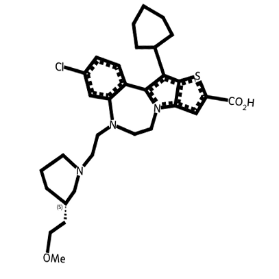 COCC[C@@H]1CCCN(CCN2CCn3c(c(C4CCCCC4)c4sc(C(=O)O)cc43)-c3ccc(Cl)cc32)C1